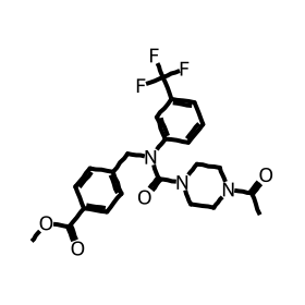 COC(=O)c1ccc(CN(C(=O)N2CCN(C(C)=O)CC2)c2cccc(C(F)(F)F)c2)cc1